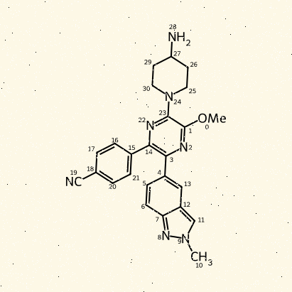 COc1nc(-c2ccc3nn(C)cc3c2)c(-c2ccc(C#N)cc2)nc1N1CCC(N)CC1